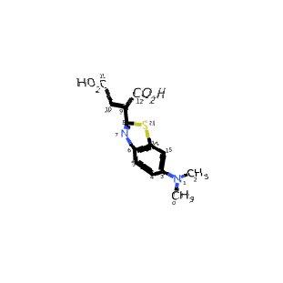 CN(C)c1ccc2nc(C(CC(=O)O)C(=O)O)sc2c1